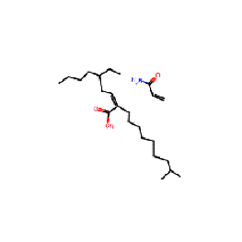 C=CC(N)=O.CCCCC(CC)CC=C(CCCCCCCC(C)C)C(=O)O